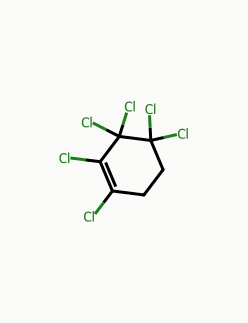 ClC1=C(Cl)C(Cl)(Cl)C(Cl)(Cl)CC1